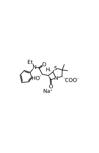 CCN(C(=O)[C@@H](O)[C@@H]1C(=O)N2[C@@H]1SC(C)(C)[C@@H]2C(=O)[O-])c1ccccc1.[Na+]